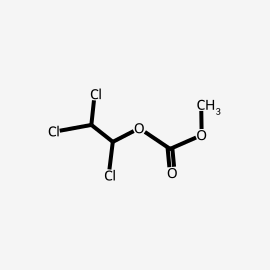 COC(=O)OC(Cl)C(Cl)Cl